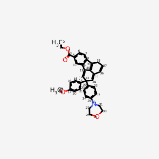 CCOC(=O)c1ccc2c(c1)C1=CC(c3ccc(OC)cc3)(c3ccc(N4CCOCC4)cc3)C=C3C=CCC2=C31